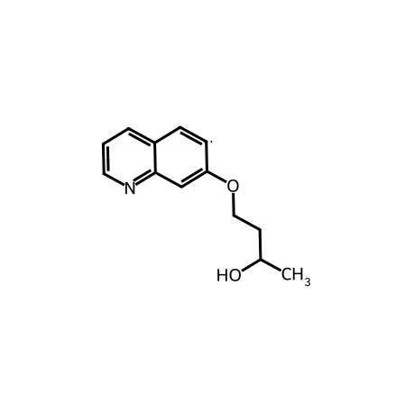 CC(O)CCOc1[c]cc2cccnc2c1